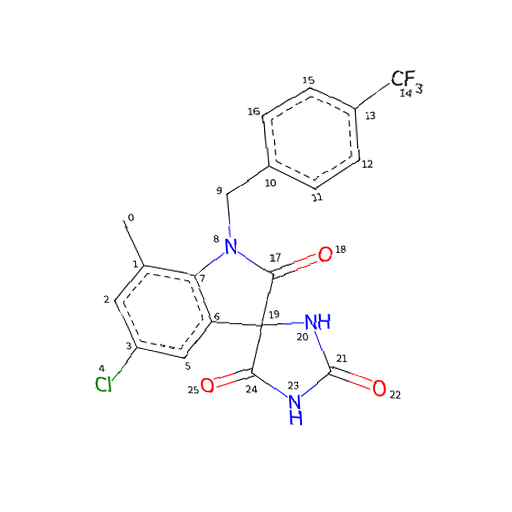 Cc1cc(Cl)cc2c1N(Cc1ccc(C(F)(F)F)cc1)C(=O)C21NC(=O)NC1=O